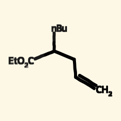 C=CCC(CCCC)C(=O)OCC